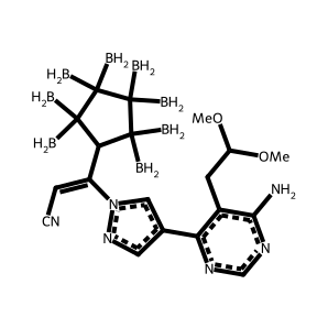 BC1(B)C(/C(=C/C#N)n2cc(-c3ncnc(N)c3CC(OC)OC)cn2)C(B)(B)C(B)(B)C1(B)B